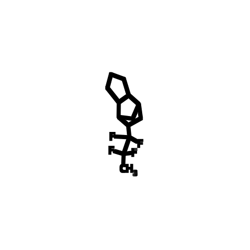 CC(F)(F)C(F)(F)C1CC2CC1C1CCCC21